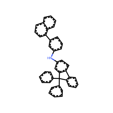 c1ccc(C2(c3ccccc3)c3ccccc3-c3ccc(Nc4cccc(-c5cccc6ccccc56)c4)cc32)cc1